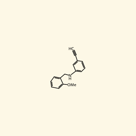 C#Cc1cccc(NCc2ccccc2OC)c1